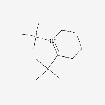 CC(C)(C)C1=[N+](C(C)(C)C)CCCC1